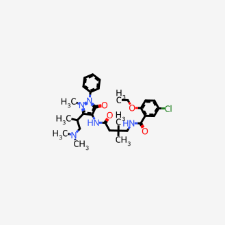 CCOc1ccc(Cl)cc1C(=O)NCC(C)(C)CC(=O)Nc1c(C(C)CN(C)C)n(C)n(-c2ccccc2)c1=O